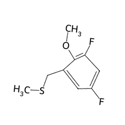 COc1c(F)cc(F)cc1CSC